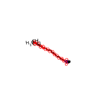 CC(C)(C)OC(=O)CCOCCOCCOCCOCCOCCOCCOCCOCCOCCOCCOCCOCCN1C(=O)c2ccccc2C1=O